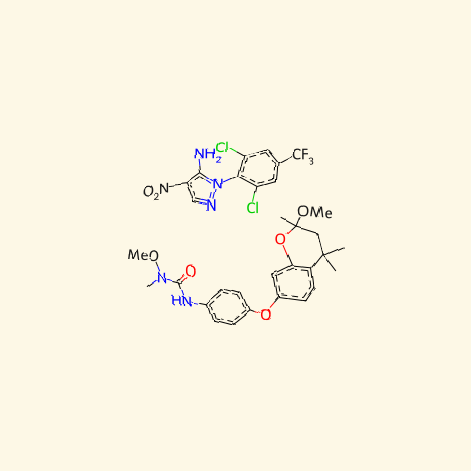 CON(C)C(=O)Nc1ccc(Oc2ccc3c(c2)OC(C)(OC)CC3(C)C)cc1.Nc1c([N+](=O)[O-])cnn1-c1c(Cl)cc(C(F)(F)F)cc1Cl